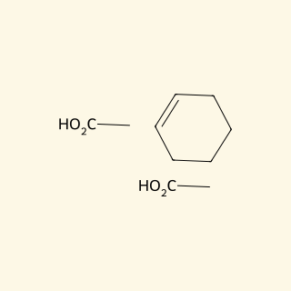 C1=CCCCC1.CC(=O)O.CC(=O)O